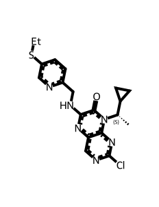 CCSc1ccc(CNc2nc3cnc(Cl)nc3n([C@@H](C)C3CC3)c2=O)nc1